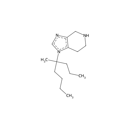 CCCCC(C)(CCC)n1cnc2c1CCNC2